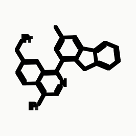 Cc1cc2c(c(-c3ncc(C(C)C)c4ccc(CC(C)C)cc34)c1)Cc1ccccc1-2